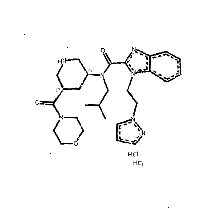 CC(C)CN(C(=O)c1nc2ccccc2n1CCn1cccn1)[C@@H]1CNC[C@H](C(=O)N2CCOCC2)C1.Cl.Cl